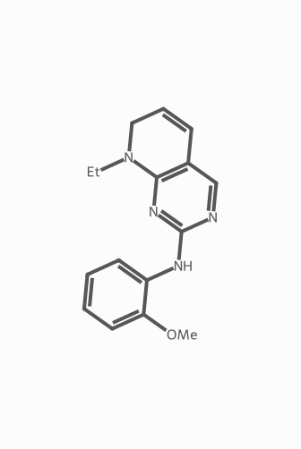 CCN1CC=Cc2cnc(Nc3ccccc3OC)nc21